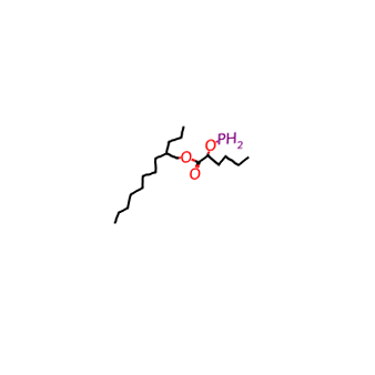 CCCCCCCCC(CCC)COC(=O)C(CCCC)OP